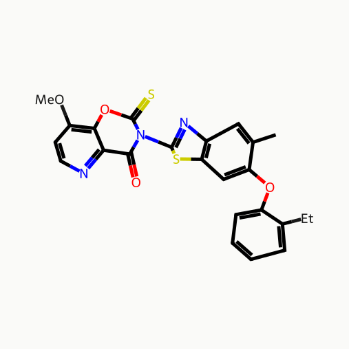 CCc1ccccc1Oc1cc2sc(-n3c(=S)oc4c(OC)ccnc4c3=O)nc2cc1C